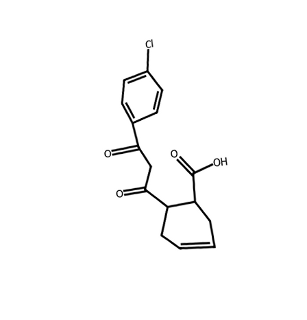 O=C(CC(=O)C1CC=CCC1C(=O)O)c1ccc(Cl)cc1